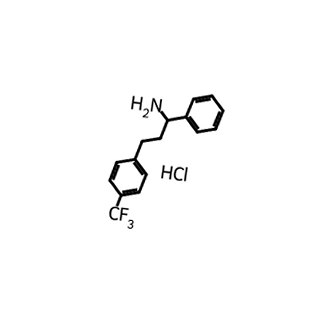 Cl.NC(CCc1ccc(C(F)(F)F)cc1)c1ccccc1